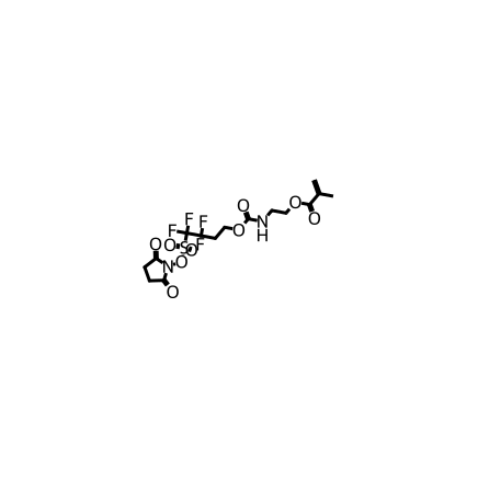 C=C(C)C(=O)OCCNC(=O)OCCC(F)(F)C(F)(F)S(=O)(=O)ON1C(=O)CCC1=O